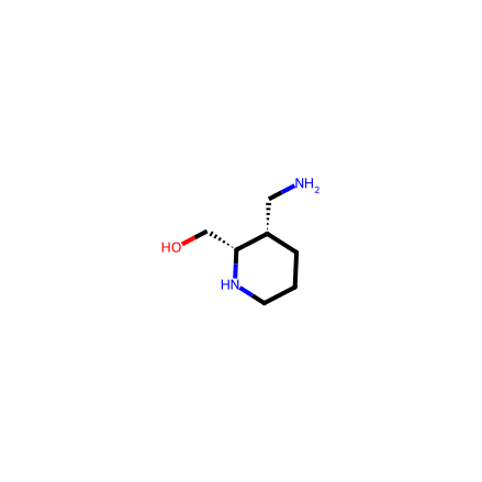 NC[C@@H]1CCCN[C@@H]1CO